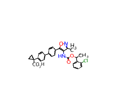 Cc1noc(-c2ccc(-c3ccc(C4(C(=O)O)CC4)cc3)cc2)c1NC(=O)OC(C)c1ccccc1Cl